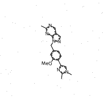 COc1cc(Cn2ncc3cnc(C)nc32)ccc1-c1cn(C)c(C)n1